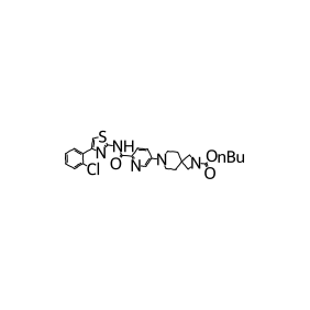 CCCCOC(=O)N1CC2(CCN(c3ccc(C(=O)Nc4nc(-c5ccccc5Cl)cs4)nc3)CC2)C1